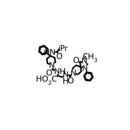 CC(C)C(=O)NC1(c2ccccc2)CCN(C(=O)NC(CNC(=O)N2CCC3(CC2)C(=O)N(C)CN3c2ccccc2)C(=O)O)CC1